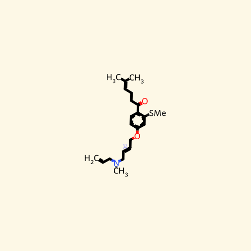 C=CCN(C)C/C=C/COc1ccc(C(=O)CCC=C(C)C)c(SC)c1